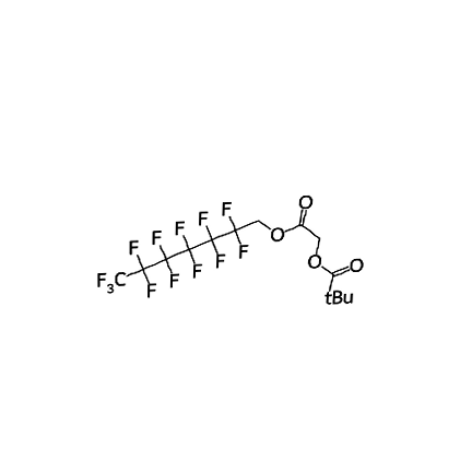 CC(C)(C)C(=O)OCC(=O)OCC(F)(F)C(F)(F)C(F)(F)C(F)(F)C(F)(F)C(F)(F)F